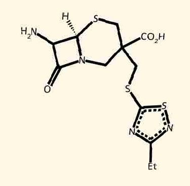 CCc1nsc(SCC2(C(=O)O)CS[C@@H]3C(N)C(=O)N3C2)n1